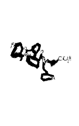 CC(NC(=O)c1ccccc1-c1ccccc1C(=O)N(CCC(=O)O)CCc1cccnc1)c1ccc(F)cc1